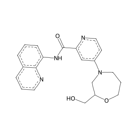 O=C(Nc1cccc2cccnc12)c1cc(N2CCCOC(CO)C2)ccn1